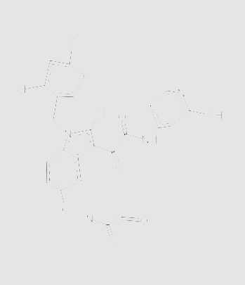 Cc1cc(NC(=O)C(=O)c2c(Cl)n(Cc3ccc(Cl)cc3Cl)c3ccc(Cl)cc23)ccn1.NC(=O)C=O